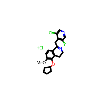 COc1ccc2c(c1OC1CCCC1)CCN=C2Cc1c(Cl)cncc1Cl.Cl